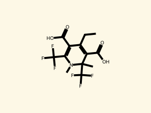 CCC1=C(C(=O)O)C(C)(C(F)(F)F)N(C)C(C(F)(F)F)=C1C(=O)O